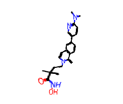 C=C1c2ccc(-c3ccc(N(C)C)nc3)cc2C=CN1CCC(C)(C)C(=O)NO